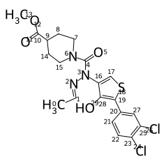 CC=NN(C(=O)N1CCC(C(=O)OC)CC1)c1csc(-c2ccc(Cl)c(Cl)c2)c1O